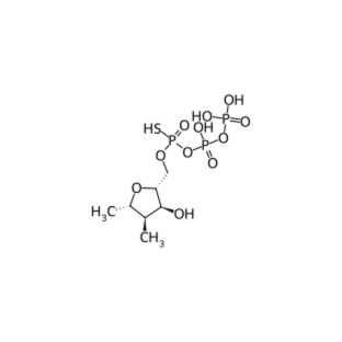 C[C@@H]1[C@H](O)[C@@H](COP(=O)(S)OP(=O)(O)OP(=O)(O)O)O[C@H]1C